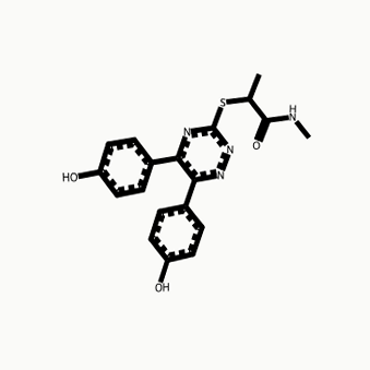 CNC(=O)C(C)Sc1nnc(-c2ccc(O)cc2)c(-c2ccc(O)cc2)n1